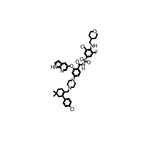 CC1(C)CCC(CN2CCN(c3ccc(C(=O)NS(=O)(=O)c4cc(F)c(NCC5CCOCC5)c(Cl)c4)c(Oc4cnc5[nH]ccc5c4)c3)CC2)=C(c2ccc(Cl)cc2)C1